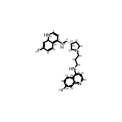 FC1=CC2NC=CC(NC[C@@H]3CCN(CCCNc4ccnc5cc(F)ccc45)C3)=C2C=C1